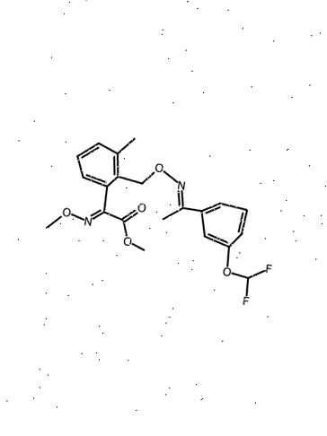 CO/N=C(/C(=O)OC)c1cccc(C)c1CO/N=C(\C)c1cccc(OC(F)F)c1